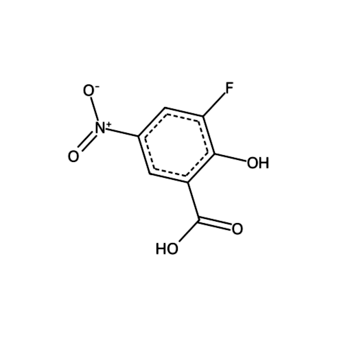 O=C(O)c1cc([N+](=O)[O-])cc(F)c1O